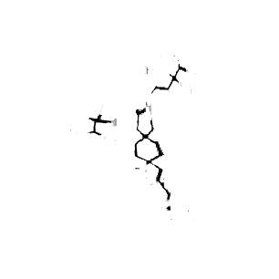 COCCCC1(N(C)C)CCC2(CC1)CC(=O)N(CCC(C)(C)C(N)=O)C2.O=C(O)C(F)(F)F